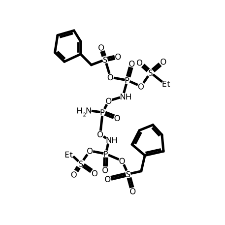 CCS(=O)(=O)OP(=O)(NOP(N)(=O)ONP(=O)(OS(=O)(=O)CC)OS(=O)(=O)Cc1ccccc1)OS(=O)(=O)Cc1ccccc1